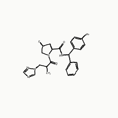 CC(Cn1cncn1)C(=O)N1CC(F)CC1C(=O)NC(c1ccccc1)c1ccc(C(C)C)cc1